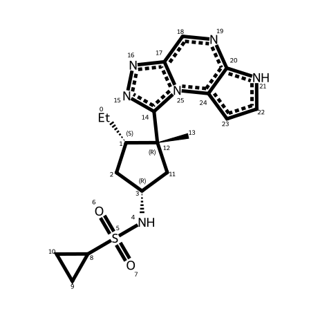 CC[C@H]1C[C@@H](NS(=O)(=O)C2CC2)C[C@@]1(C)c1nnc2cnc3[nH]ccc3n12